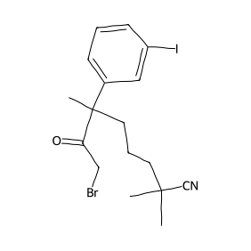 CC(C)(C#N)CCCC(C)(C(=O)CBr)c1cccc(I)c1